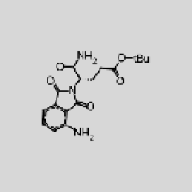 CC(C)(C)OC(=O)CC[C@@H](C(N)=O)N1C(=O)c2cccc(N)c2C1=O